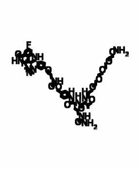 CC(C)[C@H](NC(=O)CCOCCOCCOCCOCCON)C(=O)N[C@@H](CCCNC(N)=O)C(=O)Nc1ccc(COC(=O)NCCCOc2ccc([C@H]3Nc4cc(F)cc5c(=O)[nH]nc(c45)[C@@H]3c3ncnn3C)cc2)cc1